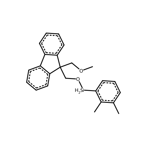 COCC1(CO[SiH2]c2cccc(C)c2C)c2ccccc2-c2ccccc21